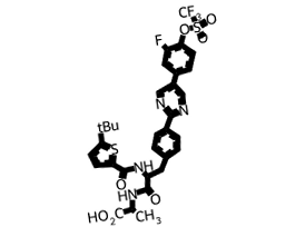 CC(NC(=O)C(Cc1ccc(-c2ncc(-c3ccc(OS(=O)(=O)C(F)(F)F)c(F)c3)cn2)cc1)NC(=O)c1ccc(C(C)(C)C)s1)C(=O)O